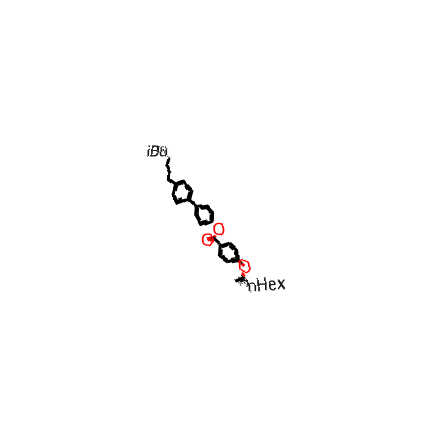 CCCCCC[C@@H](C)Oc1ccc(C(=O)Oc2ccc(-c3ccc(CCCC[C@@H](C)CC)cc3)cc2)cc1